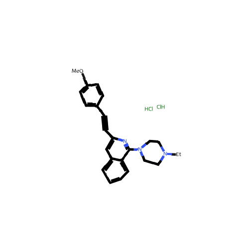 CCN1CCN(c2nc(C#Cc3ccc(OC)cc3)cc3ccccc23)CC1.Cl.Cl